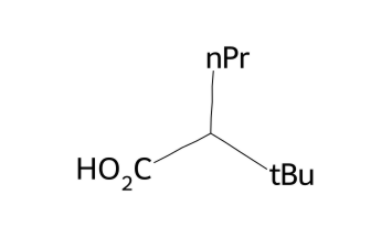 CCCC(C(=O)O)C(C)(C)C